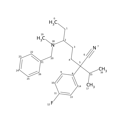 CCC(CCC(C#N)(c1ccc(F)cc1)C(C)C)N(C)Cc1ccccc1